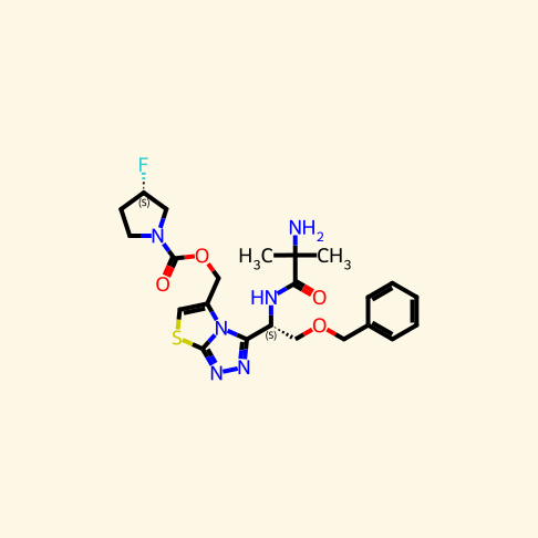 CC(C)(N)C(=O)N[C@H](COCc1ccccc1)c1nnc2scc(COC(=O)N3CC[C@H](F)C3)n12